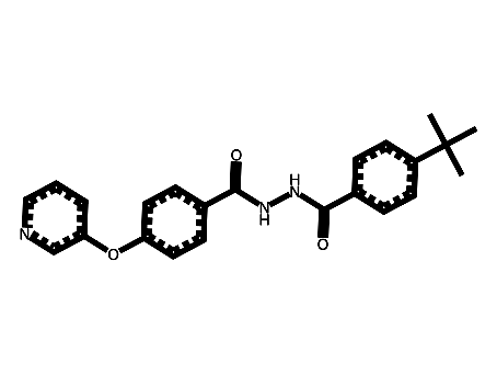 CC(C)(C)c1ccc(C(=O)NNC(=O)c2ccc(Oc3cccnc3)cc2)cc1